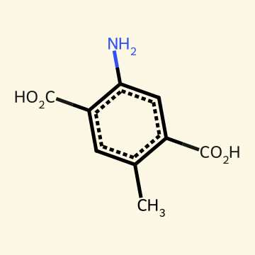 Cc1cc(C(=O)O)c(N)cc1C(=O)O